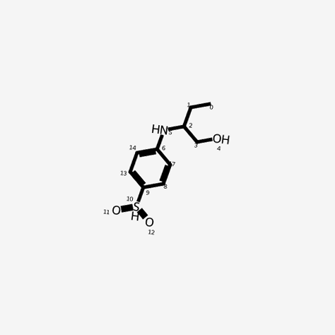 CCC(CO)Nc1[c]cc([SH](=O)=O)cc1